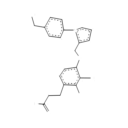 CCc1ccc(-n2cccc2COc2ccc(CCC(=O)O)c(C)c2C)cc1